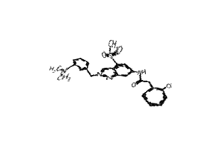 CN(C)c1cccc(Cn2cc3c(S(C)(=O)=O)cc(NC(=O)Cc4ccccc4Cl)cc3n2)c1